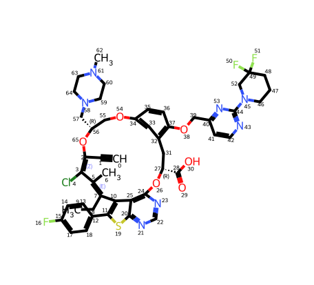 C#C/C1=C(Cl)\C(C)=C(/CC)c2c(-c3ccc(F)cc3)sc3ncnc(c23)O[C@@H](C(=O)O)Cc2cc(ccc2OCc2ccnc(N3CCCC(F)(F)C3)n2)OC[C@@H](CN2CCN(C)CC2)O1